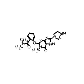 CN(C)C(=O)c1ccccc1Oc1nc2nc(N3CCNCC3)[nH]c2c(=O)n1C